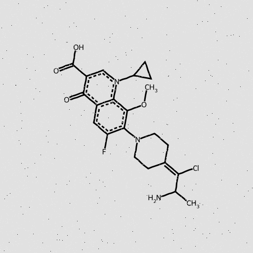 COc1c(N2CCC(=C(Cl)C(C)N)CC2)c(F)cc2c(=O)c(C(=O)O)cn(C3CC3)c12